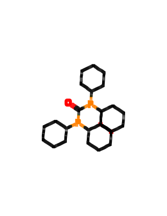 O=C(P(C1CCCCC1)C1CCCCC1)P(C1CCCCC1)C1CCCCC1